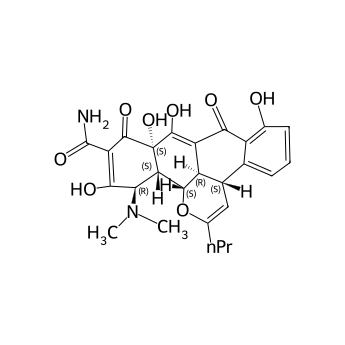 CCCC1=C[C@H]2c3cccc(O)c3C(=O)C3=C(O)[C@]4(O)C(=O)C(C(N)=O)=C(O)[C@H](N(C)C)[C@H]4[C@@H](O1)[C@@H]32